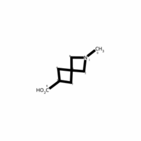 CN1CC2(CC(C(=O)O)C2)C1